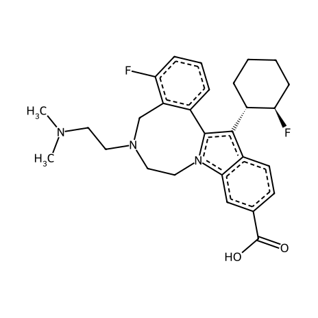 CN(C)CCN1CCn2c(c([C@@H]3CCCC[C@H]3F)c3ccc(C(=O)O)cc32)-c2cccc(F)c2C1